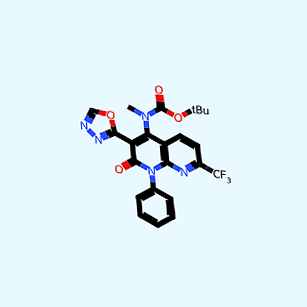 CN(C(=O)OC(C)(C)C)c1c(-c2nnco2)c(=O)n(-c2ccccc2)c2nc(C(F)(F)F)ccc12